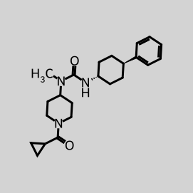 CN(C(=O)N[C@H]1CC[C@H](c2ccccc2)CC1)C1CCN(C(=O)C2CC2)CC1